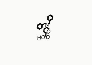 O=C(O)C1CC[C@@H](N(Cc2ccccc2)Cc2ccccc2)CO1